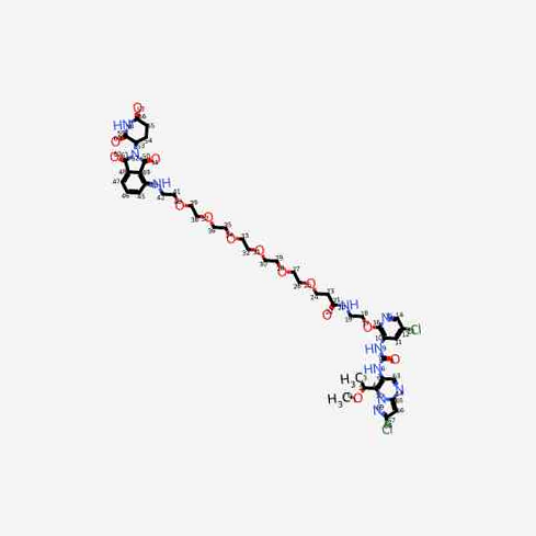 COC(C)c1c(NC(=O)Nc2cc(Cl)cnc2OCCNC(=O)CCOCCOCCOCCOCCOCCOCCNc2cccc3c2C(=O)N(C2CCC(=O)NC2=O)C3=O)cnc2cc(Cl)nn12